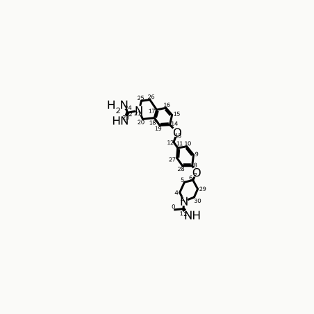 CC(=N)N1CCC(Oc2ccc(COc3ccc4c(c3)CN(C(=N)N)CC4)cc2)CC1